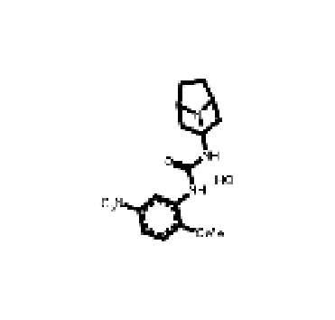 COc1ccc([N+](=O)[O-])cc1NC(=O)NC1CC2CCC(C1)N2C.Cl